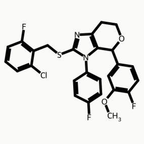 COc1cc(C2OCCc3nc(SCc4c(F)cccc4Cl)n(-c4ccc(F)cc4)c32)ccc1F